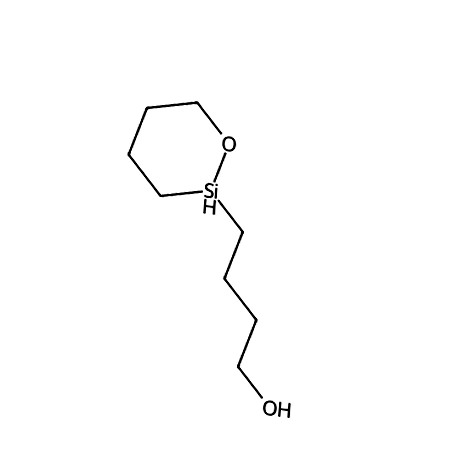 OCCCC[SiH]1CCCCO1